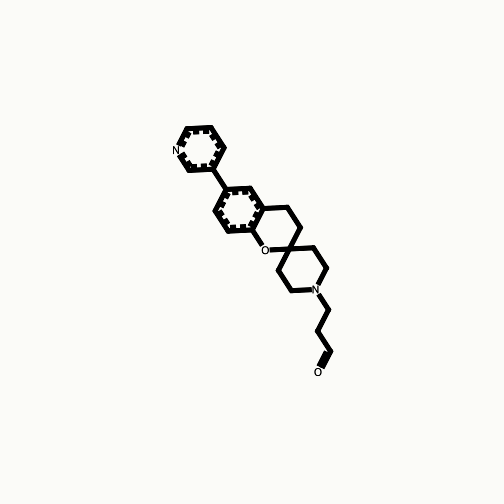 O=CCCN1CCC2(CCc3cc(-c4cccnc4)ccc3O2)CC1